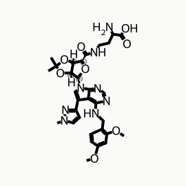 COc1ccc(CNc2ncnc3c2c(-c2ccn(C)n2)cn3[C@@H]2O[C@H](C(=O)NCCC(N)C(=O)O)[C@H]3OC(C)(C)O[C@H]32)c(OC)c1